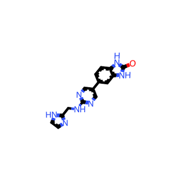 O=c1[nH]c2ccc(-c3cnc(NCc4ncc[nH]4)nc3)cc2[nH]1